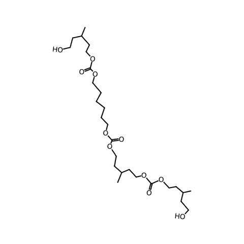 CC(CCO)CCOC(=O)OCCCCCCOC(=O)OCCC(C)CCOC(=O)OCCC(C)CCO